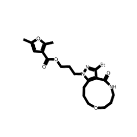 CCc1nn(CCCOC(=O)c2cc(C)oc2C)c2c1C(=O)NCCCOCCC2